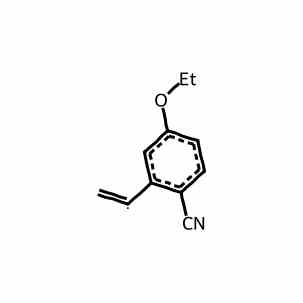 C=[C]c1cc(OCC)ccc1C#N